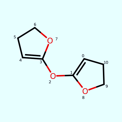 C1=C(OC2=CCCO2)OCC1